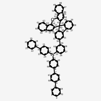 c1ccc(-c2ccc(-c3ccc(N(c4ccc(-c5ccccc5)cc4)c4cccc(-c5ccc6c(c5)-c5ccccc5C65c6ccc7ccccc7c6Oc6c5ccc5ccccc65)c4)cc3)cc2)cc1